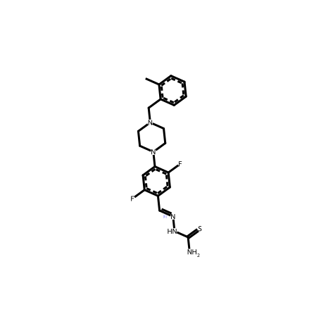 Cc1ccccc1CN1CCN(c2cc(F)c(/C=N/NC(N)=S)cc2F)CC1